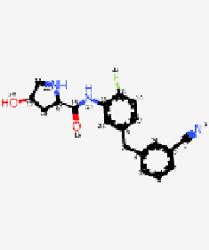 N#Cc1cccc(Cc2ccc(F)c(NC(=O)[C@H]3C[C@@H](O)CN3)c2)c1